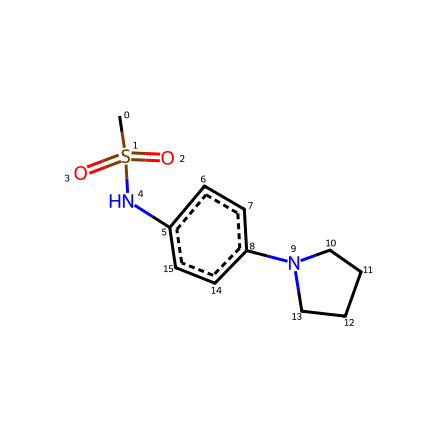 CS(=O)(=O)Nc1ccc(N2CCCC2)cc1